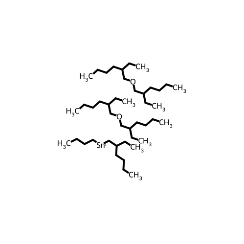 CCCCC(CC)COCC(CC)CCCC.CCCCC(CC)COCC(CC)CCCC.CCC[CH2][Sn][CH2]C(CC)CCCC